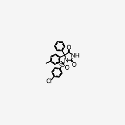 Cc1ccc(C2(c3ccccc3)C(=O)NC(=O)N2S(=O)(=O)c2ccc(Cl)cc2)cc1